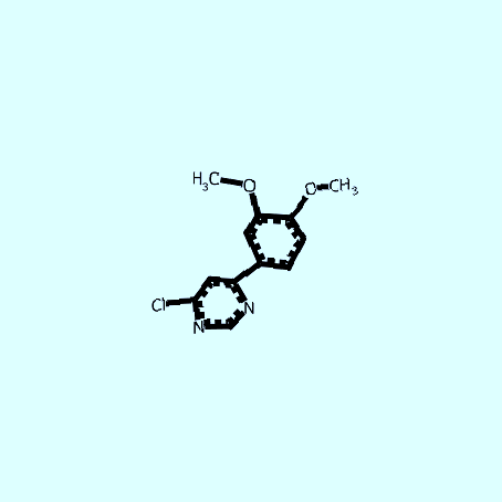 COc1ccc(-c2cc(Cl)ncn2)cc1OC